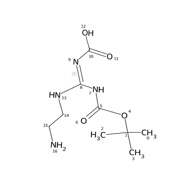 CC(C)(C)OC(=O)N/C(=N\C(=O)O)NCCN